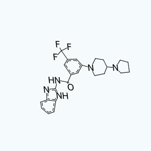 O=C(Nc1nc2ccccc2[nH]1)c1cc(N2CCC(N3CCCC3)CC2)cc(C(F)(F)F)c1